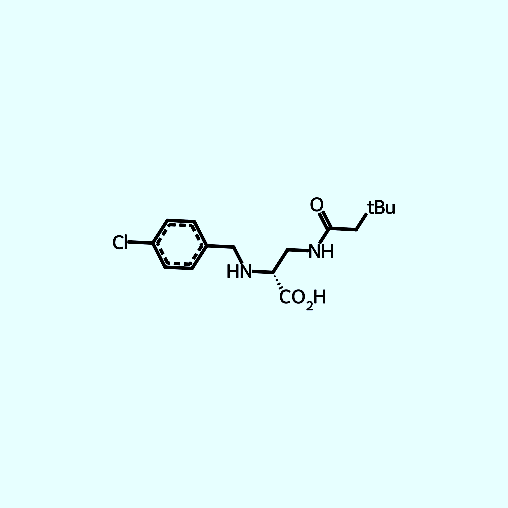 CC(C)(C)CC(=O)NC[C@@H](NCc1ccc(Cl)cc1)C(=O)O